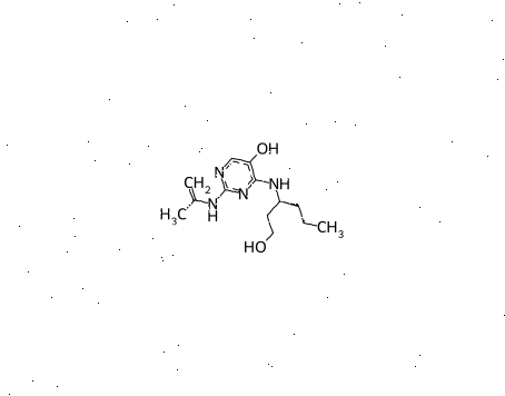 C=C(C)Nc1ncc(O)c(N[C@@H](CCC)CCO)n1